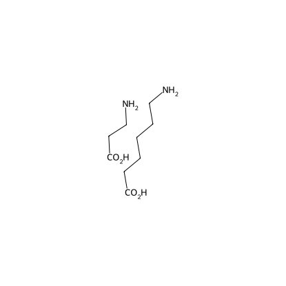 NCCC(=O)O.NCCCCCC(=O)O